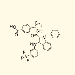 CC(NC(=O)c1c(Nc2cccc(C(F)(F)F)c2)c2ccccc2n1Cc1ccccc1)c1ccc(C(=O)O)cc1